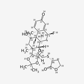 CC1(C)O[C@@H]2C[C@H]3[C@@H]4C[C@H](F)C5=CC(=O)C=C[C@]5(C)[C@@]4(F)[C@@H](O)C[C@]3(C)[C@]2(C(=O)CS[C@@H]2CCOC2=O)O1